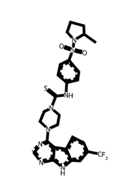 CC1CCCN1S(=O)(=O)c1ccc(NC(=S)N2CCN(c3ncnc4[nH]c5cc(C(F)(F)F)ccc5c34)CC2)cc1